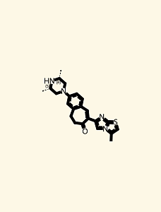 Cc1csc2nc(C3=Cc4ccc(N5C[C@@H](C)N[C@@H](C)C5)cc4CCC3=O)cn12